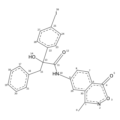 Cc1noc(=O)c2ccc(NC(=O)C(O)(Cc3ccccc3)c3ccc(I)cc3)cc12